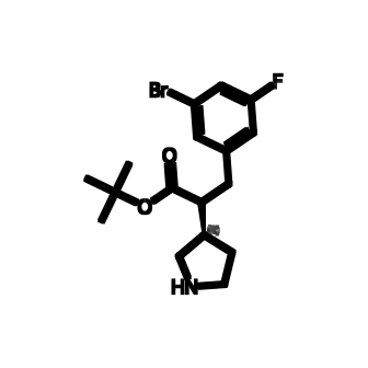 CC(C)(C)OC(=O)C(Cc1cc(F)cc(Br)c1)[C@H]1CCNC1